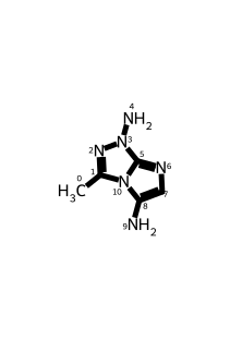 Cc1nn(N)c2ncc(N)n12